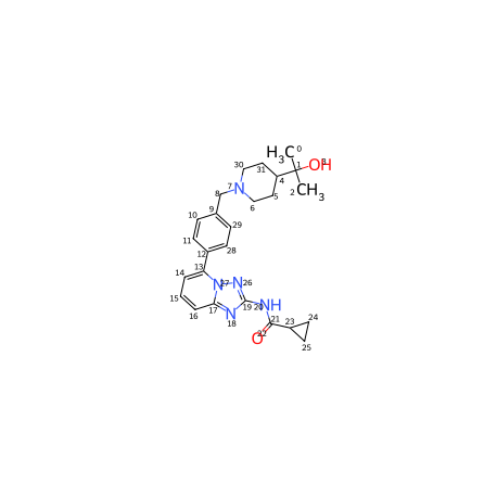 CC(C)(O)C1CCN(Cc2ccc(-c3cccc4nc(NC(=O)C5CC5)nn34)cc2)CC1